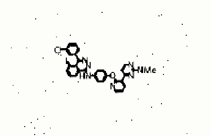 CNc1nccc(-c2cccnc2Oc2ccc(Nc3nnc(-c4cccc(Cl)c4)c4c(I)cccc34)cc2)n1